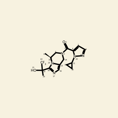 C[C@H]1CN(C(=O)c2ccnn2C2CC2)Cc2cnc(C(C)(O)C(F)(F)F)n21